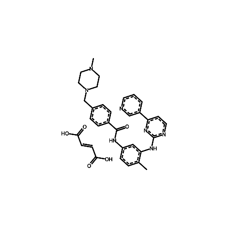 Cc1ccc(NC(=O)c2ccc(CN3CCN(C)CC3)cc2)cc1Nc1nccc(-c2cccnc2)n1.O=C(O)C=CC(=O)O